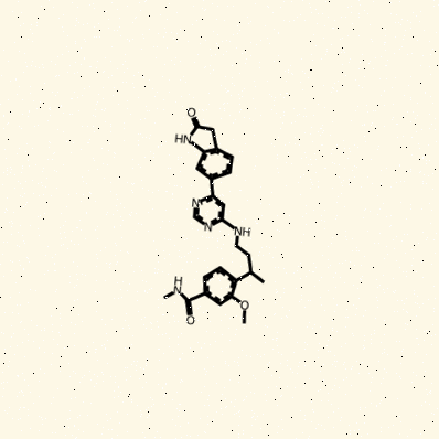 CNC(=O)c1ccc(C(C)CCNc2cc(-c3ccc4c(c3)NC(=O)C4)ncn2)c(OC)c1